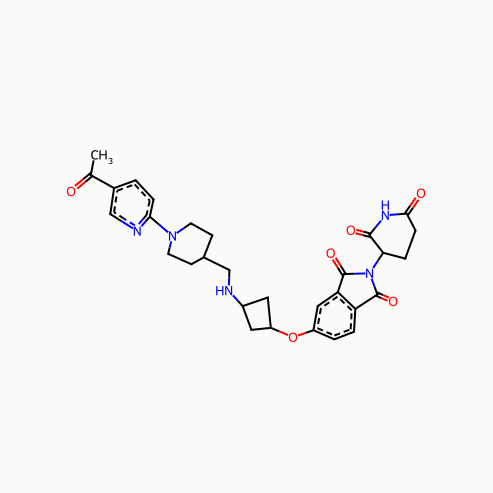 CC(=O)c1ccc(N2CCC(CNC3CC(Oc4ccc5c(c4)C(=O)N(C4CCC(=O)NC4=O)C5=O)C3)CC2)nc1